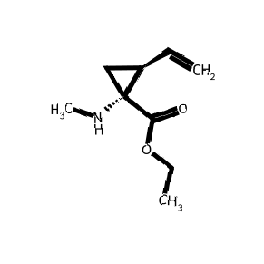 C=C[C@@H]1C[C@]1(NC)C(=O)OCC